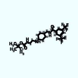 CC(C)(C)OC(=O)NCCNC1CCC(CNC(=O)c2cc(C(F)(F)F)cc(C(F)(F)F)c2)CC1